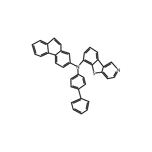 c1ccc(-c2ccc(N(c3ccc4c(ccc5ccccc54)c3)c3cccc4c3sc3ccncc34)cc2)cc1